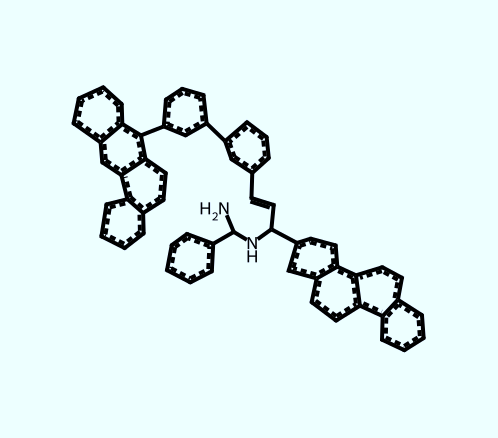 NC(NC(/C=C/c1cccc(-c2cccc(-c3c4ccccc4cc4c3ccc3ccccc34)c2)c1)c1ccc2c(ccc3c4ccccc4ccc23)c1)c1ccccc1